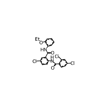 CCOc1ccccc1NC(=O)c1cc(Cl)ccc1NC(=O)c1ccc(Cl)cc1Cl